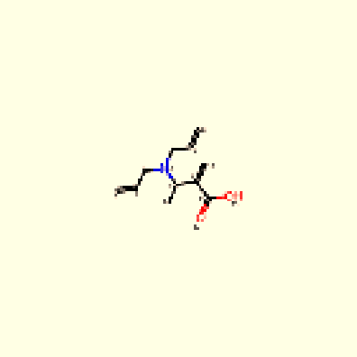 C=CCN(CC=C)C(C)C(=C)C(=O)O